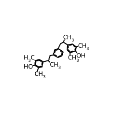 Cc1cc(C(C)Cc2cccc(CC(C)c3cc(C)c(O)c(C)c3)c2)cc(C)c1O